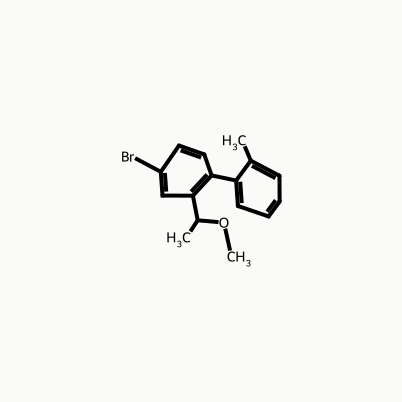 COC(C)c1cc(Br)ccc1-c1ccccc1C